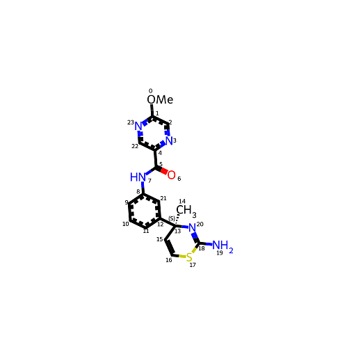 COc1cnc(C(=O)Nc2cccc([C@]3(C)C=CSC(N)=N3)c2)cn1